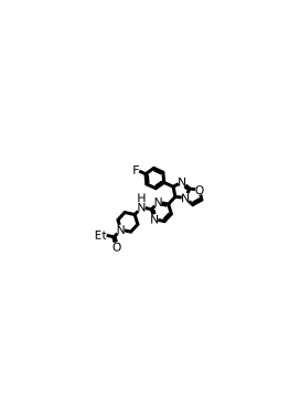 CCC(=O)N1CCC(Nc2nccc(C3C(c4ccc(F)cc4)N=C4OC=CN43)n2)CC1